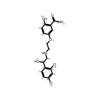 NC(=O)c1cc(OCCNCC(O)c2ccc(Cl)cc2Cl)ccc1O